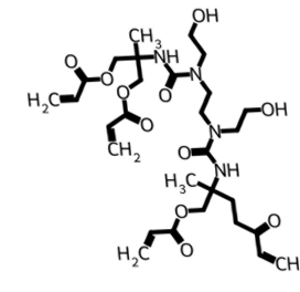 C=CC(=O)CCC(C)(COC(=O)C=C)NC(=O)N(CCO)CCN(CCO)C(=O)NC(C)(COC(=O)C=C)COC(=O)C=C